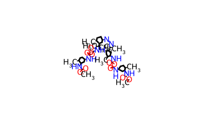 COC(=O)Nc1cc(NC(=O)OC(=O)Nc2cc(C(C)(C)N=C=Nc3ccc(C)c(C(C)(C)NC(=O)OC(=O)Nc4ccc(C)c(NC(=O)OC)c4)c3)ccc2C)ccc1C